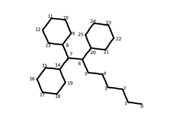 CCCCCCC([C](C1CCCCC1)C1CCCCC1)C1CCCCC1